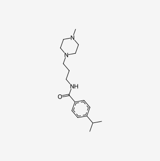 CC(C)c1ccc(C(=O)NCCCN2CCN(C)CC2)cc1